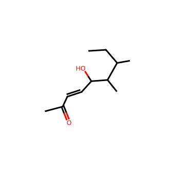 CCC(C)C(C)C(O)C=CC(C)=O